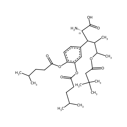 CC(C)CCC(=O)Oc1ccc(C(C(C)C(C)OC(=O)CC(C)(C)C)[C@H](N)C(=O)O)cc1OC(=O)CCC(C)C